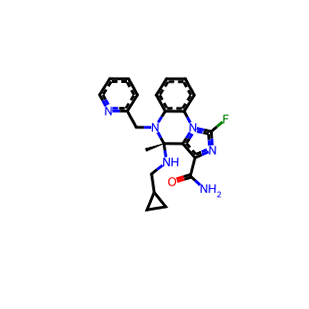 C[C@]1(NCC2CC2)c2c(C(N)=O)nc(F)n2-c2ccccc2N1Cc1ccccn1